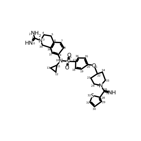 N=C(N)N1CCc2ccc(N(C3CC3)S(=O)(=O)c3ccc(OC4CCN(C(=N)c5cccs5)CC4)cc3)cc2C1